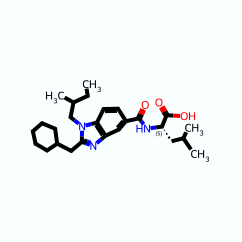 CCC(C)Cn1c(CC2CCCCC2)nc2cc(C(=O)N[C@@H](CC(C)C)C(=O)O)ccc21